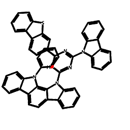 c1ccc(-n2c3ccccc3c3ccc4c5ccccc5n(C5=NC(n6c7ccccc7c7ccccc76)=NC(c6ccc7c(c6)sc6ccccc67)N5)c4c32)cc1